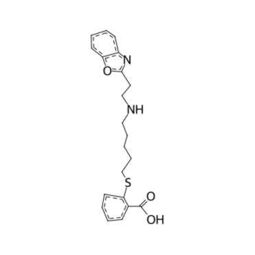 O=C(O)c1ccccc1SCCCCCNCCc1nc2ccccc2o1